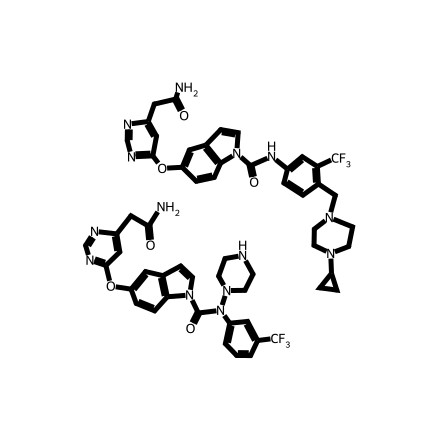 NC(=O)Cc1cc(Oc2ccc3c(ccn3C(=O)N(c3cccc(C(F)(F)F)c3)N3CCNCC3)c2)ncn1.NC(=O)Cc1cc(Oc2ccc3c(ccn3C(=O)Nc3ccc(CN4CCN(C5CC5)CC4)c(C(F)(F)F)c3)c2)ncn1